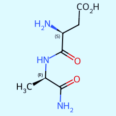 C[C@@H](NC(=O)[C@@H](N)CC(=O)O)C(N)=O